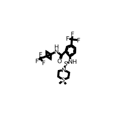 CS1(C)CCN(SNc2ccc(C(F)(F)F)cc2C(=O)NC23CC2(C(F)(F)F)C3)CC1